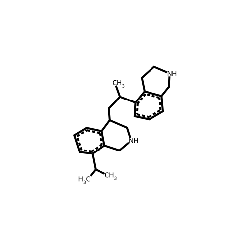 CC(C)c1cccc2c1CNCC2CC(C)c1cccc2c1CCNC2